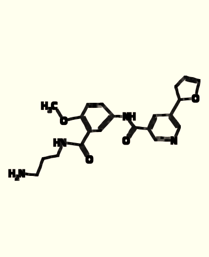 COc1ccc(NC(=O)c2cncc(C3CC=CO3)c2)cc1C(=O)NCCCN